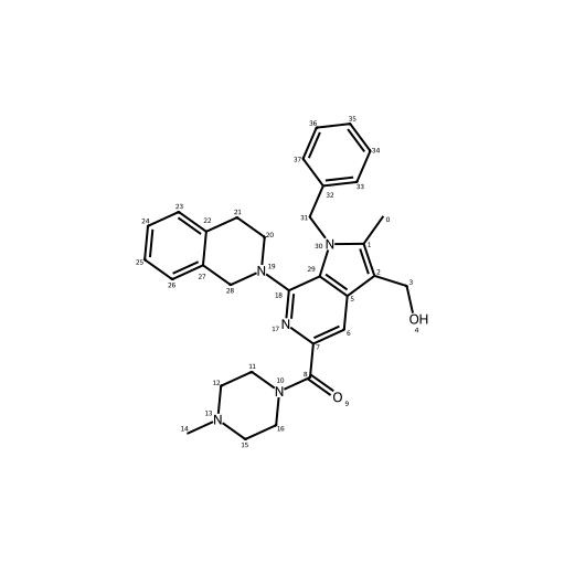 Cc1c(CO)c2cc(C(=O)N3CCN(C)CC3)nc(N3CCc4ccccc4C3)c2n1Cc1ccccc1